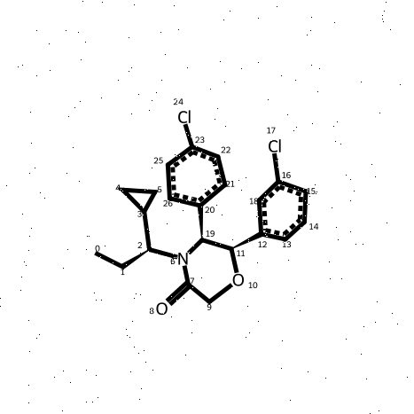 CC[C@@H](C1CC1)N1C(=O)CO[C@H](c2cccc(Cl)c2)[C@@H]1c1ccc(Cl)cc1